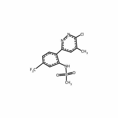 Cc1cc(-c2ccc(C(F)(F)F)cc2NS(C)(=O)=O)nnc1Cl